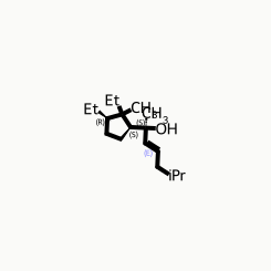 CC[C@@H]1CC[C@H]([C@@](C)(O)/C=C/CC(C)C)C1(C)CC